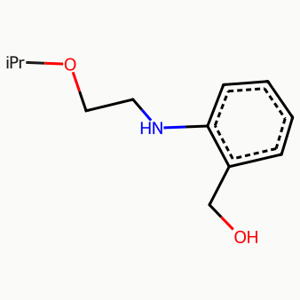 CC(C)OCCNc1ccccc1CO